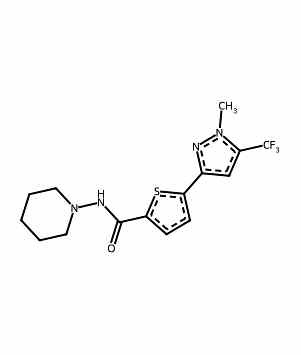 Cn1nc(-c2ccc(C(=O)NN3CCCCC3)s2)cc1C(F)(F)F